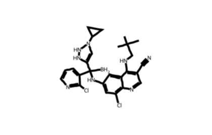 BC(Nc1cc(Cl)c2ncc(C#N)c(NCC(C)(C)C)c2c1)(C1=CN(C2CC2)NN1)c1cccnc1Cl